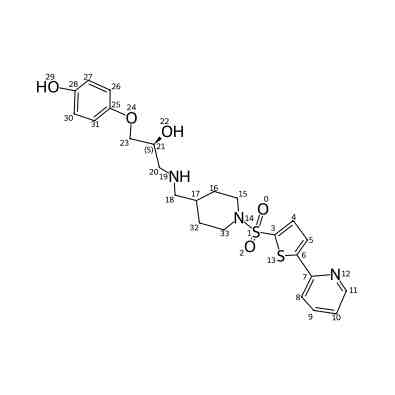 O=S(=O)(c1ccc(-c2ccccn2)s1)N1CCC(CNC[C@H](O)COc2ccc(O)cc2)CC1